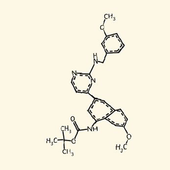 COc1cccc(CNc2nccc(-c3cc(NC(=O)OC(C)(C)C)c4cc(OC)ccc4c3)n2)c1